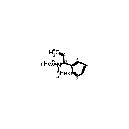 C=CC(c1ccccc1)N(CCCCCC)CCCCCC